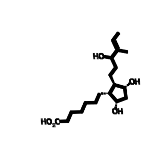 C/C=C(\C)C(O)CC[C@@H]1[C@@H](CCCCCCC(=O)O)[C@@H](O)C[C@H]1O